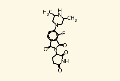 CC1CN(c2ccc3c(c2F)C(=O)N(C2CCC(=O)NC2=O)C3=O)CC(C)N1